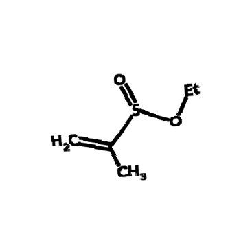 C=C(C)S(=O)OCC